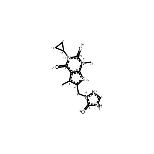 Cc1c(Cn2nc[nH]c2=O)sc2c1c(=O)n(C1CC1)c(=O)n2C